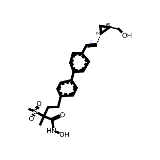 CC(CCc1ccc(-c2ccc(/C=C/[C@@H]3C[C@H]3CO)cc2)cc1)(C(=O)NO)S(C)(=O)=O